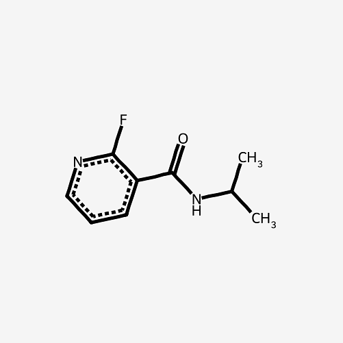 CC(C)NC(=O)c1cccnc1F